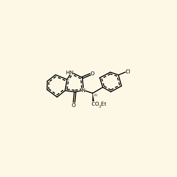 CCOC(=O)[C@H](c1ccc(Cl)cc1)n1c(=O)[nH]c2ccccc2c1=O